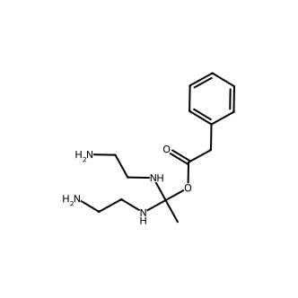 CC(NCCN)(NCCN)OC(=O)Cc1ccccc1